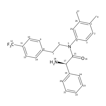 Cc1ccc(N(CCc2ccc(C(F)(F)F)cc2)C(=O)[C@H](N)c2ccccc2)cc1C